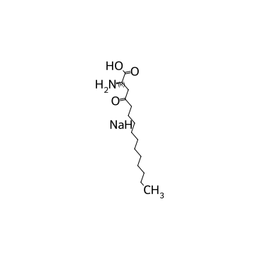 CCCCCCCCCCCC(=O)C[C@@H](N)C(=O)O.[NaH]